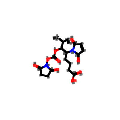 CC(C)C(OC(=O)ON1C(=O)CCC1=O)C(CCCC(=O)O)N1C(=O)C=CC1=O